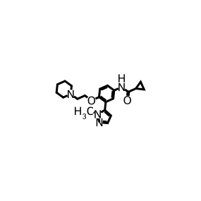 Cn1nccc1-c1cc(NC(=O)C2CC2)ccc1OCCN1CCCCC1